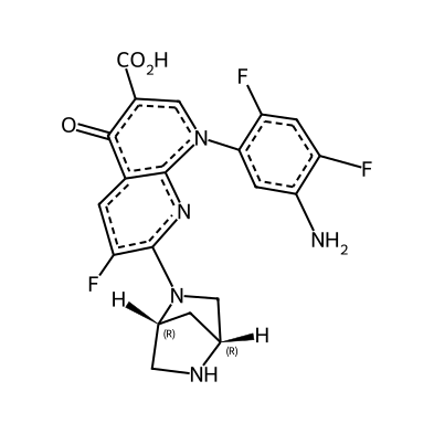 Nc1cc(-n2cc(C(=O)O)c(=O)c3cc(F)c(N4C[C@H]5C[C@@H]4CN5)nc32)c(F)cc1F